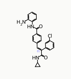 Nc1ccccc1NC(=O)c1ccc(/C=C(/C(=O)NC2CC2)c2cccc(Cl)c2)cc1